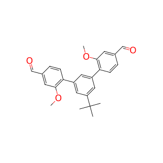 COc1cc(C=O)ccc1-c1cc(-c2ccc(C=O)cc2OC)cc(C(C)(C)C)c1